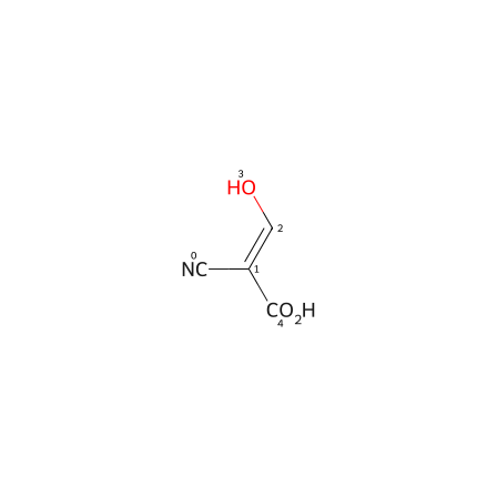 N#C/C(=C\O)C(=O)O